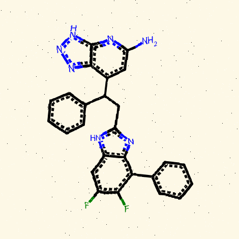 Nc1cc(C(Cc2nc3c(-c4ccccc4)c(F)c(F)cc3[nH]2)c2ccccc2)c2nn[nH]c2n1